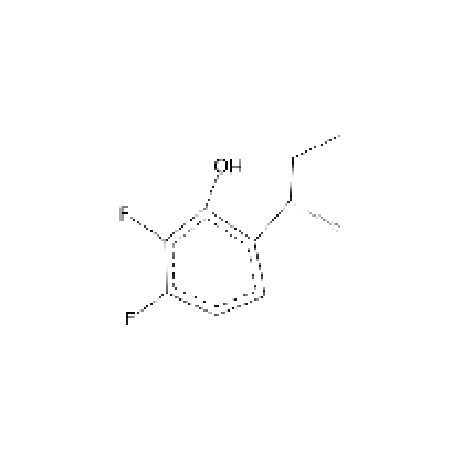 CC[C@H](C)c1ccc(F)c(F)c1O